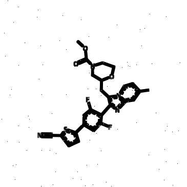 COC(=O)N1CCOC(Cc2c(-c3c(F)cc(-c4ccc(C#N)s4)cc3F)nc3cc(C)ccn23)C1